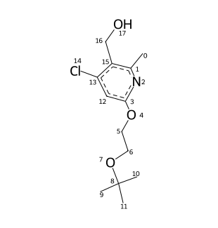 Cc1nc(OCCOC(C)(C)C)cc(Cl)c1CO